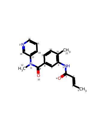 C/C=C/C(=O)Nc1cc(C(=O)N(C)c2cccnc2)ccc1C